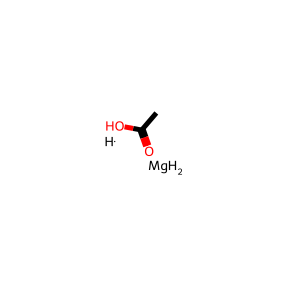 CC(=O)O.[H].[MgH2]